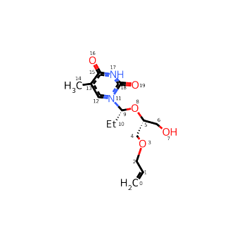 C=CCOC[C@@H](CO)O[C@H](CC)n1cc(C)c(=O)[nH]c1=O